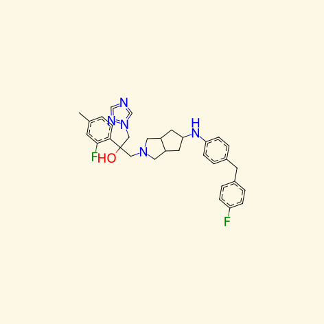 Cc1ccc(C(O)(CN2CC3CC(Nc4ccc(Cc5ccc(F)cc5)cc4)CC3C2)Cn2cncn2)c(F)c1